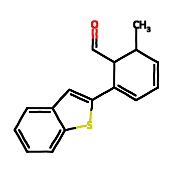 CC1C=CC=C(c2cc3ccccc3s2)C1C=O